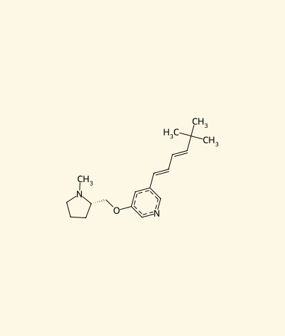 CN1CCC[C@H]1COc1cncc(/C=C/C=C/C(C)(C)C)c1